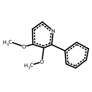 COc1ccnc(-c2ccccc2)c1OC